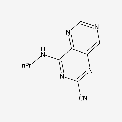 CCCNc1nc(C#N)nc2cncnc12